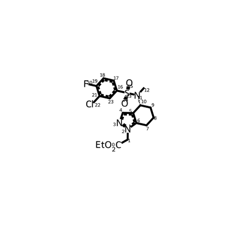 CCOC(=O)Cn1ncc2c1CCC[C@H]2N(C)S(=O)(=O)c1ccc(F)c(Cl)c1